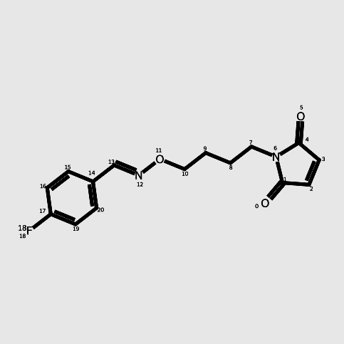 O=C1C=CC(=O)N1CCCCO/N=C/c1ccc([18F])cc1